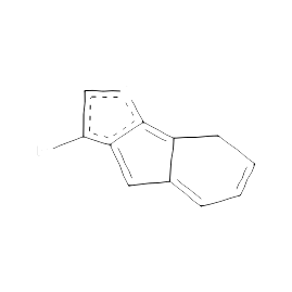 Brc1csc2c1=CC1=CC=CCC=21